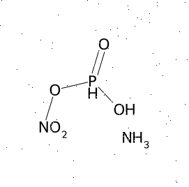 N.O=[N+]([O-])O[PH](=O)O